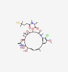 C=C1N[C@]2(O)C[C@H](O1)[C@@H](C)[C@@H]1O[C@@]1(C)[C@@H](OC(=O)[C@H](C)N(C)C(=O)CCC(C)(C)S)CC(=O)N(C)c1cc(cc(OC)c1Cl)C/C(C)=C\C=C\[C@H]2OC